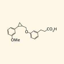 COc1cccc(C2CC2COc2cccc(CCC(=O)O)c2)c1